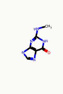 CNc1nc2c(c(=O)[nH]1)N=C[N]2